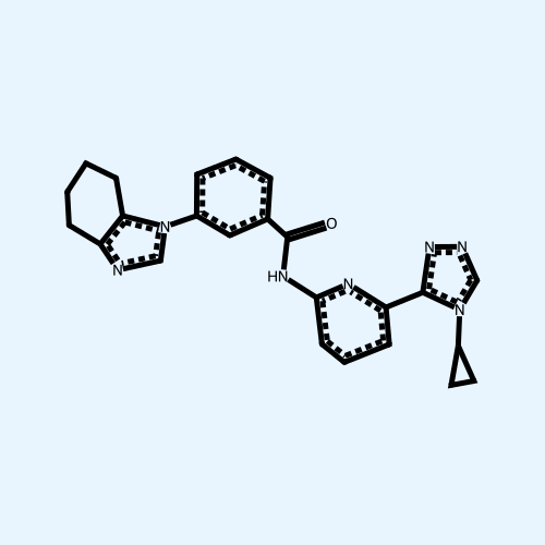 O=C(Nc1cccc(-c2nncn2C2CC2)n1)c1cccc(-n2cnc3c2CCCC3)c1